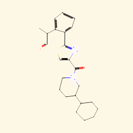 CC(C=O)c1ccccc1-c1nc(C(=O)N2CCCC(C3CCCCC3)C2)cs1